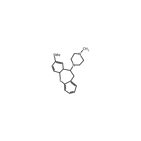 CSC1=CC2C(C=C1)Sc1ccccc1CC2N1CCN(C)CC1